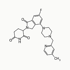 Cc1ccnc(CN2CCN(c3cc(F)cc4c3CN(C3CCC(=O)NC3=O)C4=O)CC2)c1